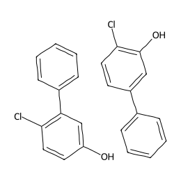 Oc1cc(-c2ccccc2)ccc1Cl.Oc1ccc(Cl)c(-c2ccccc2)c1